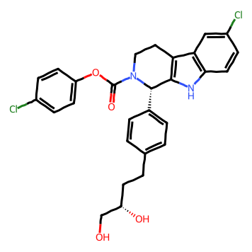 O=C(Oc1ccc(Cl)cc1)N1CCc2c([nH]c3ccc(Cl)cc23)[C@@H]1c1ccc(CC[C@H](O)CO)cc1